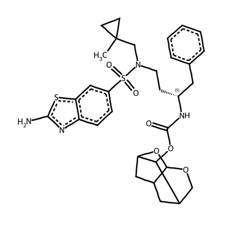 CC1(CN(CC[C@H](Cc2ccccc2)NC(=O)OC2C3COC4OC2CC4C3)S(=O)(=O)c2ccc3nc(N)sc3c2)CC1